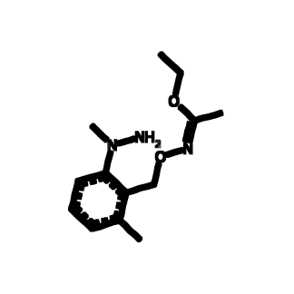 CCOC(C)=NOCc1c(C)cccc1N(C)N